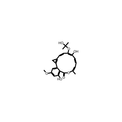 COc1cc(O)c2c(=O)oc(C)cccc(O)c(OC(C)(C)O)ccc3c(c2c1)C3